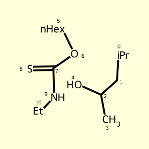 CC(C)CC(C)O.CCCCCCOC(=S)NCC